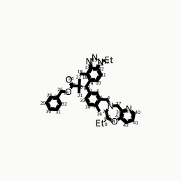 CC[C@@H]1CN(Cc2cc([C@@H](c3ccc4c(nnn4CC)c3C)C(C)(C)C(=O)OCc3ccccc3)ccc2C)Cc2ncccc2O1